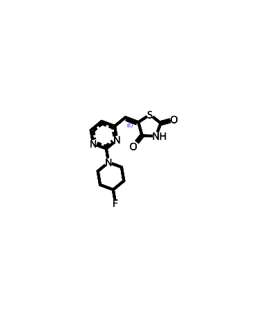 O=C1NC(=O)/C(=C\c2ccnc(N3CCC(F)CC3)n2)S1